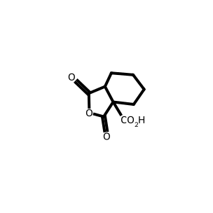 O=C1OC(=O)C2(C(=O)O)CCCCC12